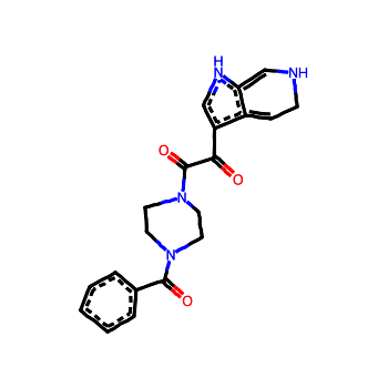 O=C(C(=O)N1CCN(C(=O)c2ccccc2)CC1)c1c[nH]c2c1=CCNC=2